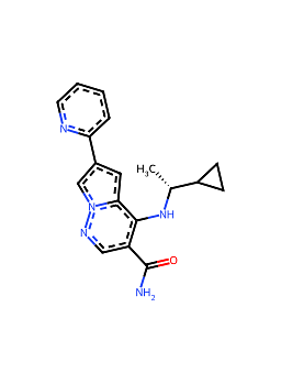 C[C@@H](Nc1c(C(N)=O)cnn2cc(-c3ccccn3)cc12)C1CC1